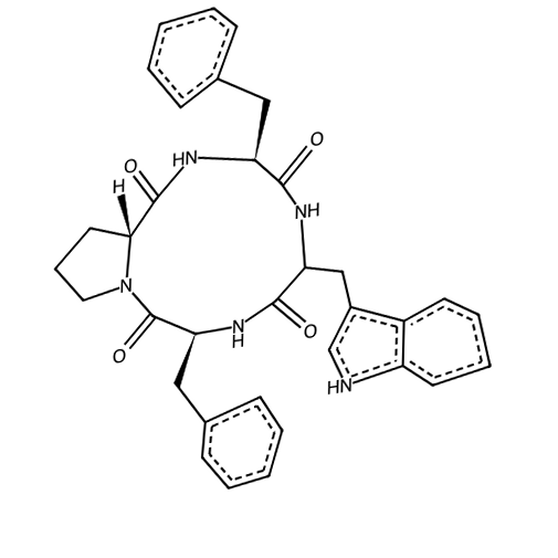 O=C1N[C@@H](Cc2ccccc2)C(=O)N2CCC[C@@H]2C(=O)N[C@@H](Cc2ccccc2)C(=O)NC1Cc1c[nH]c2ccccc12